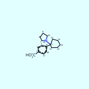 O=C(O)c1ccc(C2(N3CCCC3)CCCCC2)cc1